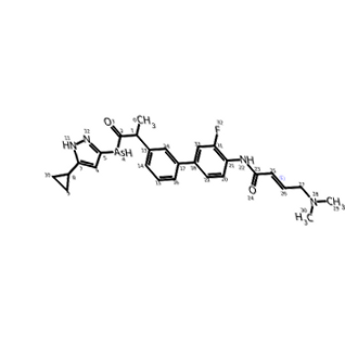 CC(C(=O)[AsH]c1cc(C2CC2)[nH]n1)c1cccc(-c2ccc(NC(=O)/C=C/CN(C)C)c(F)c2)c1